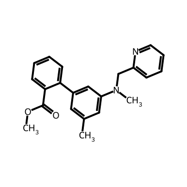 COC(=O)c1ccccc1-c1cc(C)cc(N(C)Cc2ccccn2)c1